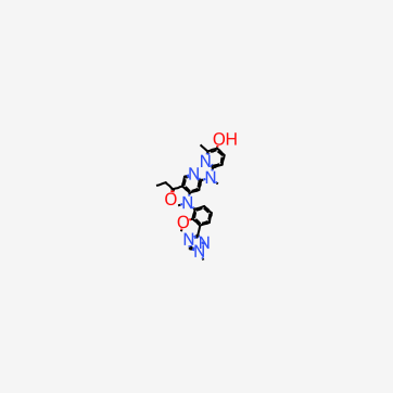 CCC(=O)c1cnc(N(C)c2ccc(O)c(C)n2)cc1N(C)c1cccc(-c2ncn(C)n2)c1OC